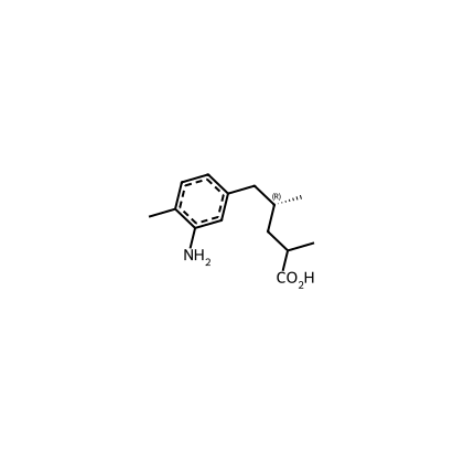 Cc1ccc(C[C@H](C)CC(C)C(=O)O)cc1N